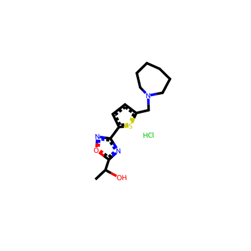 CC(O)c1nc(-c2ccc(CN3CCCCCC3)s2)no1.Cl